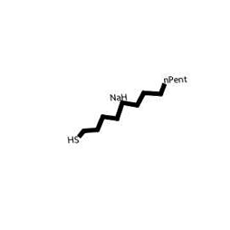 CCCCCCCCCCCCCS.[NaH]